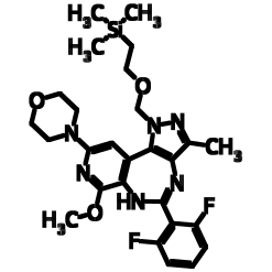 COc1nc(N2CCOCC2)cc2c1NC(c1c(F)cccc1F)=Nc1c(C)nn(COCC[Si](C)(C)C)c1-2